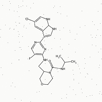 CC(C)NC(=O)N1CCOCC1CNc1nc(C2=CNC3NC=C(Cl)C=C23)ncc1F